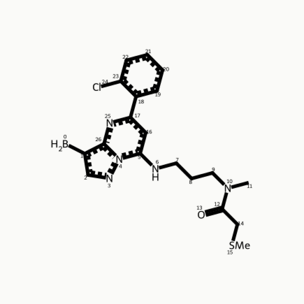 Bc1cnn2c(NCCCN(C)C(=O)CSC)cc(-c3ccccc3Cl)nc12